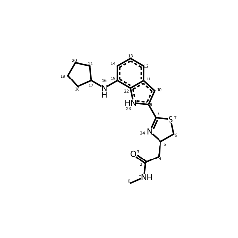 CNC(=O)C[C@@H]1CSC(c2cc3cccc(NC4CCCC4)c3[nH]2)=N1